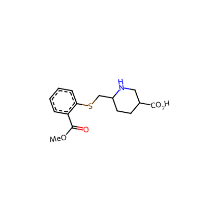 COC(=O)c1ccccc1SCC1CCC(C(=O)O)CN1